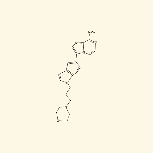 CNc1nccn2c(-c3ccc4c(ccn4CCCN4CCOCC4)c3)cnc12